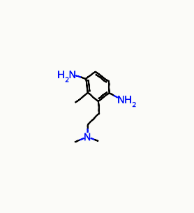 Cc1c(N)ccc(N)c1CCN(C)C